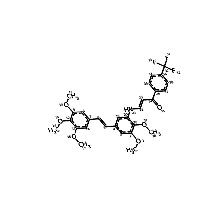 COc1cc(C=Cc2cc(OC)c(OC)c(OC)c2)cc(NC=CC(=O)c2ccc(C(F)(F)F)cc2)c1OC